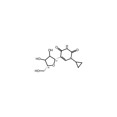 O=c1[nH]c(=O)n(C2CC2)cc1[C@@H]1O[C@H](CO)C(O)C1O